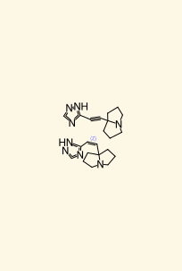 C(#CC12CCCN1CCC2)c1ncn[nH]1.C(=C/C12CCCN1CCC2)/c1ncn[nH]1